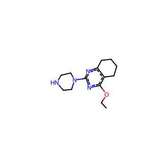 CCOc1nc(N2CCNCC2)nc2c1CCCC2